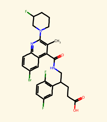 Cc1c(N2CCCC(F)C2)nc2ccc(Br)cc2c1C(=O)NCC(CCC(=O)O)c1cc(F)ccc1F